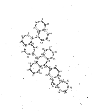 c1ccc2c(-c3cccc4ccc(-c5c6ccccc6c(-c6ccc7c(c6)oc6ccccc67)c6ccccc56)cc34)cccc2c1